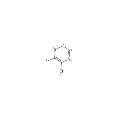 CCC1=C(C)SCC=N1